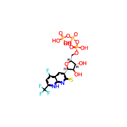 O=P(O)(O)OP(=O)(O)OP(=O)(O)OC[C@H]1O[C@@H](c2cc3c(F)cc(C(F)(F)F)[nH]c-3nc2=S)C(O)[C@H]1O